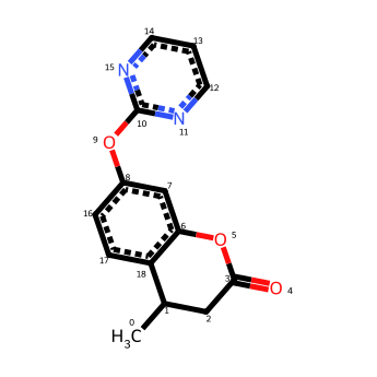 CC1CC(=O)Oc2cc(Oc3ncccn3)ccc21